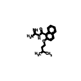 CC(C)CCOc1ccc2ccccc2c1C(=O)NC(=N)N